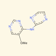 COc1cncnc1Nc1cnccn1